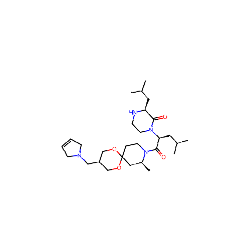 CC(C)C[C@@H]1NCCN([C@@H](CC(C)C)C(=O)N2CCC3(C[C@@H]2C)OCC(CN2CC=CC2)CO3)C1=O